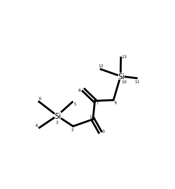 C=C(C[Si](C)(C)C)C(=C)C[Si](C)(C)C